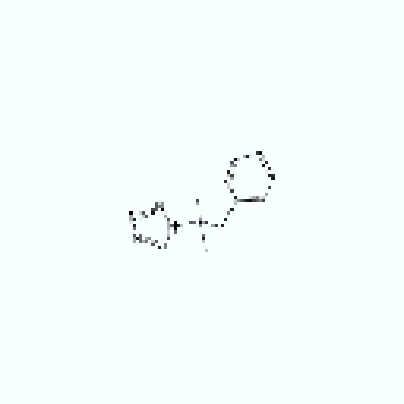 CC(C)(Cc1ccccc1)n1cnnn1